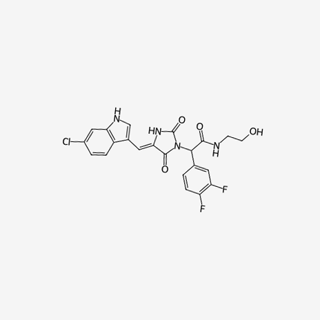 O=C(NCCO)C(c1ccc(F)c(F)c1)N1C(=O)N/C(=C\c2c[nH]c3cc(Cl)ccc23)C1=O